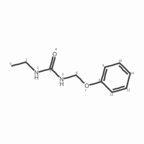 CCNC(=O)NCOc1cc[c]cc1